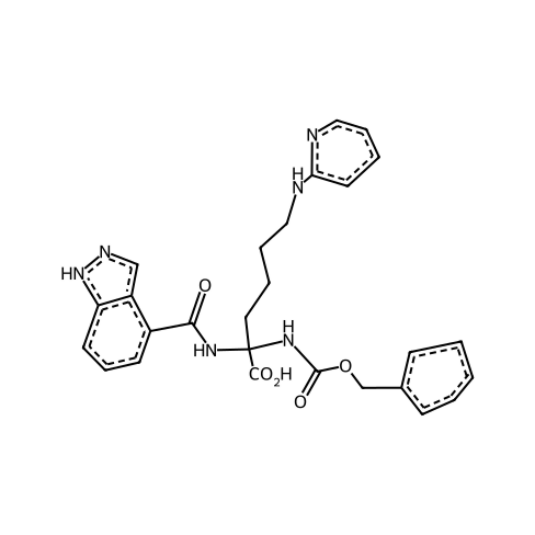 O=C(NC(CCCCNc1ccccn1)(NC(=O)c1cccc2[nH]ncc12)C(=O)O)OCc1ccccc1